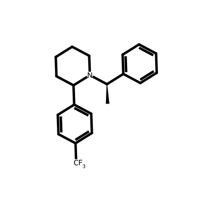 C[C@H](c1ccccc1)N1CCCCC1c1ccc(C(F)(F)F)cc1